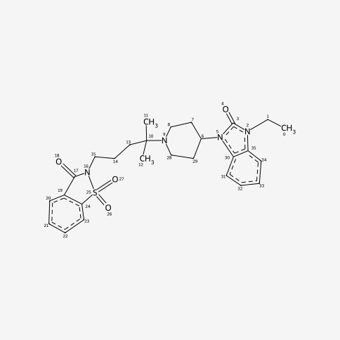 CCn1c(=O)n(C2CCN(C(C)(C)CCCN3C(=O)c4ccccc4S3(=O)=O)CC2)c2ccccc21